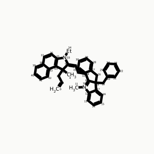 C=CCC1(C)/C(=C\C=C\C2=[N+](C)c3ccccc3C2(Cc2ccccc2)Cc2ccccc2)N(CC)c2ccc3ccccc3c21